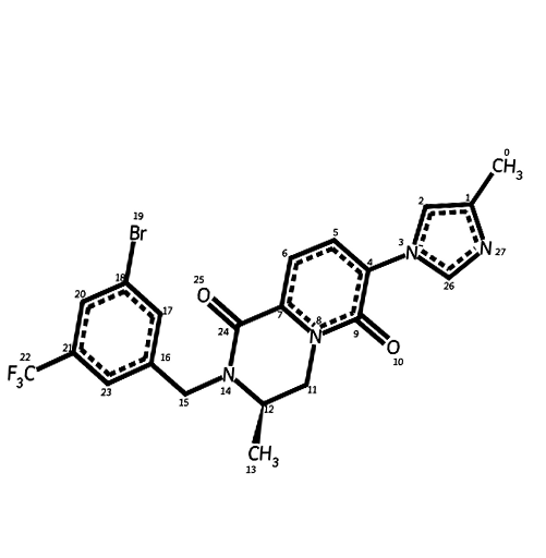 Cc1cn(-c2ccc3n(c2=O)C[C@@H](C)N(Cc2cc(Br)cc(C(F)(F)F)c2)C3=O)cn1